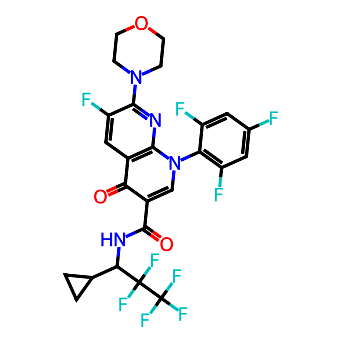 O=C(NC(C1CC1)C(F)(F)C(F)(F)F)c1cn(-c2c(F)cc(F)cc2F)c2nc(N3CCOCC3)c(F)cc2c1=O